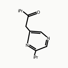 CC(C)C(=O)Cc1cncc(C(C)C)n1